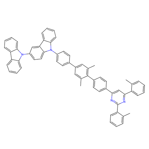 Cc1ccccc1-c1cc(-c2ccc(-c3c(C)cc(-c4ccc(-n5c6ccccc6c6cc(-n7c8ccccc8c8ccccc87)ccc65)cc4)cc3C)cc2)nc(-c2ccccc2C)n1